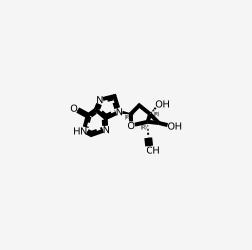 C#C[C@]12O[C@@H](n3cnc4c(=O)[nH]cnc43)C[C@@]1(O)C2O